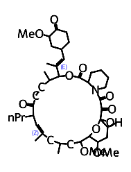 CCCC1/C=C(/C)CC(C)CC(OC)C2OC(O)(C(=O)C(=O)N3CCCCC3C(=O)OC(/C(C)=C/C3CCC(=O)C(OC)C3)C(C)CCC1=O)C(C)CC2OC